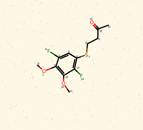 COc1c(F)cc(SCCC(C)=O)c(F)c1OC